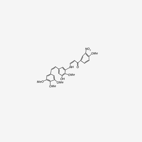 COc1ccc(C(=O)/C=C\Nc2cc(/C=C\c3cc(OC)c(OC)c(OC)c3)cc(O)c2OC)cc1[N+](=O)[O-]